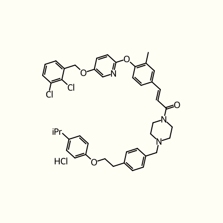 Cc1cc(/C=C/C(=O)N2CCN(Cc3ccc(CCOc4ccc(C(C)C)cc4)cc3)CC2)ccc1Oc1ccc(OCc2cccc(Cl)c2Cl)cn1.Cl